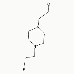 [O]CCN1CCN(CCF)CC1